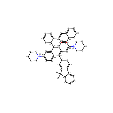 CC1(C)c2ccccc2-c2ccc(-c3c4cc(N5CCCCC5)ccc4c(-c4ccccc4-c4ccc5ccccc5c4)c4cc(N5CCCCC5)ccc34)cc21